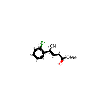 COC(=O)C/C=C(\C#N)c1ccccc1Br